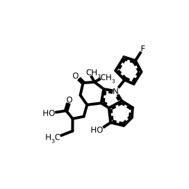 CCC(CC1CC(=O)C(C)(C)c2c1c1c(O)cccc1n2-c1ccc(F)cc1)C(=O)O